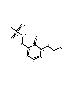 CCCn1cccc(COS(C)(=O)=O)c1=O